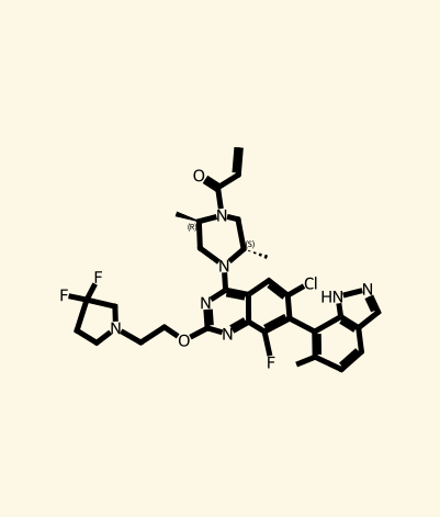 C=CC(=O)N1C[C@H](C)N(c2nc(OCCN3CCC(F)(F)C3)nc3c(F)c(-c4c(C)ccc5cn[nH]c45)c(Cl)cc23)C[C@H]1C